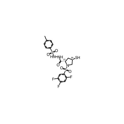 Cc1ccc(S(=O)(=O)NNC(=O)[C@@H]2C[C@@H](S)CN2S(=O)(=O)c2cc(F)c(F)cc2F)cc1